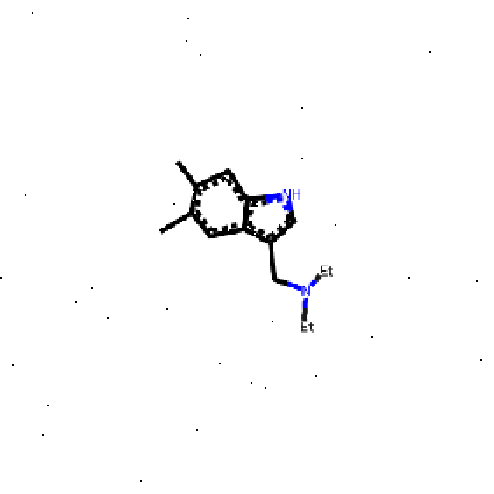 CCN(CC)Cc1c[nH]c2cc(C)c(C)cc12